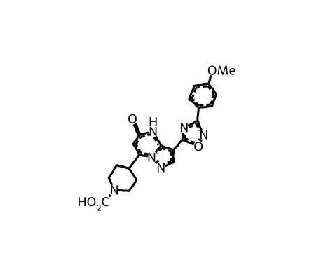 COc1ccc(-c2noc(-c3cnn4c(C5CCN(C(=O)O)CC5)cc(=O)[nH]c34)n2)cc1